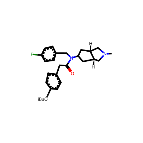 CC(C)COc1ccc(CC(=O)N(Cc2ccc(F)cc2)C2C[C@@H]3CN(C)C[C@@H]3C2)cc1